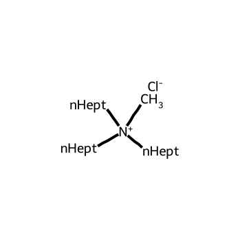 CCCCCCC[N+](C)(CCCCCCC)CCCCCCC.[Cl-]